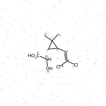 CC1(C)CC1C=C(Cl)Cl.O=C(O)NO